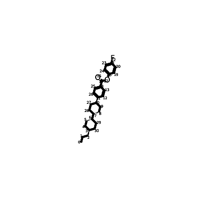 CCC[C@H]1CC[C@H]([C@H]2CC[C@H](c3ccc(C(=O)Oc4ccc(F)cc4)cc3)CC2)CC1